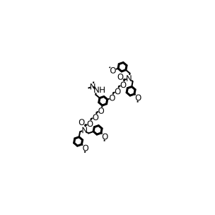 COc1cccc(CN(Cc2cccc(OC)c2)C(=O)OCOCOc2cc(CNN(C)C)cc(OCOCOC(=O)N(Cc3cccc(OC)c3)Cc3cccc(OC)c3)c2)c1